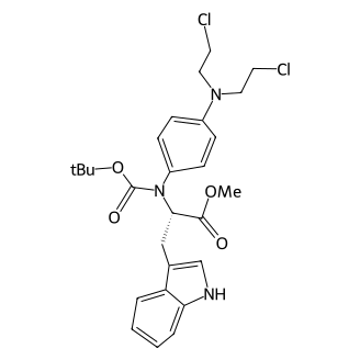 COC(=O)[C@H](Cc1c[nH]c2ccccc12)N(C(=O)OC(C)(C)C)c1ccc(N(CCCl)CCCl)cc1